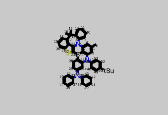 Cc1cc2c3c(c1)N1c4ccccc4C(C)(C)c4cccc5sc(c1c45)B3c1ccc(N(c3ccccc3)c3ccccc3)cc1N2c1ccc(C(C)(C)C)cc1